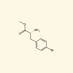 COC(=O)[C@H](N)Cc1ccc(Br)cc1